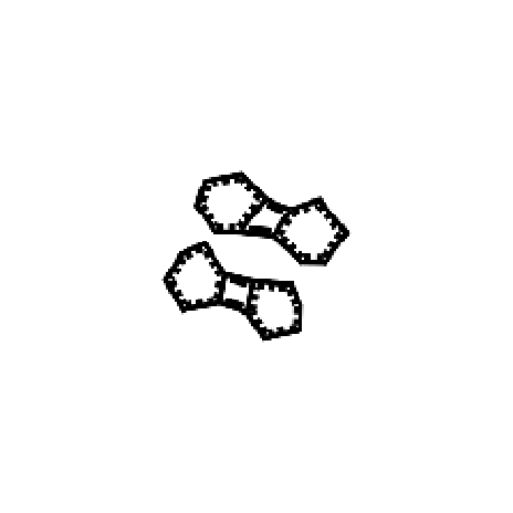 c1ccc2c(c1)=c1ccccc1=2.c1ccc2c(c1)=c1ccccc1=2